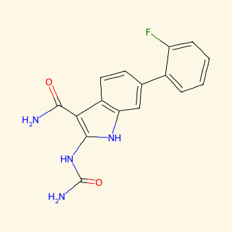 NC(=O)Nc1[nH]c2cc(-c3ccccc3F)ccc2c1C(N)=O